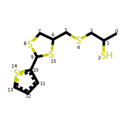 CC(S)CSCC1CSC(c2cccs2)S1